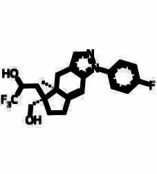 C[C@]12Cc3cnn(-c4ccc(F)cc4)c3C=C1CC[C@@]2(CO)CC(O)C(F)(F)F